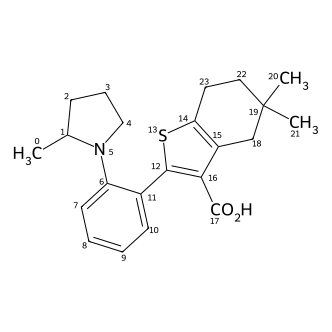 CC1CCCN1c1ccccc1-c1sc2c(c1C(=O)O)CC(C)(C)CC2